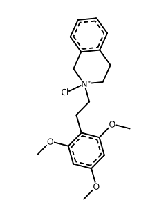 COc1cc(OC)c(CC[N+]2(Cl)CCc3ccccc3C2)c(OC)c1